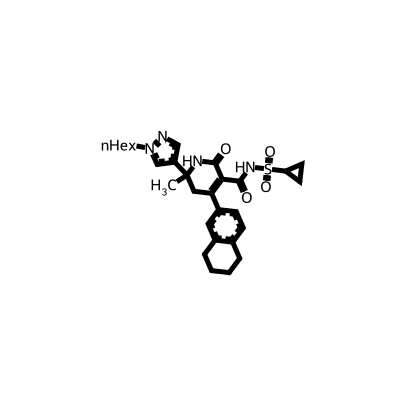 CCCCCCn1cc(C2(C)CC(c3ccc4c(c3)CCCC4)=C(C(=O)NS(=O)(=O)C3CC3)C(=O)N2)cn1